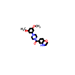 COc1cc(OC)cc(N2CCN(C(=O)c3ccc4c(c3)NC=CO4)CC2)c1